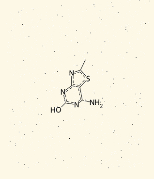 Cc1nc2nc(O)nc(N)c2s1